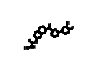 O=C(NO)Oc1ccc2c(c1)CC(Nc1nccc(-c3ccc(F)c(Cl)c3)n1)CC2